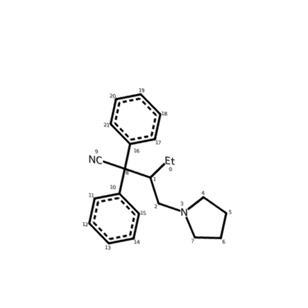 CCC(CN1CCCC1)C(C#N)(c1ccccc1)c1ccccc1